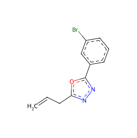 C=CCc1nnc(-c2cccc(Br)c2)o1